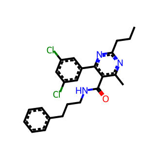 CCCc1nc(C)c(C(=O)NCCCc2ccccc2)c(-c2cc(Cl)cc(Cl)c2)n1